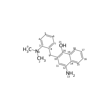 CN(C)c1ccccc1Cc1cc(N)c2ccccc2c1O